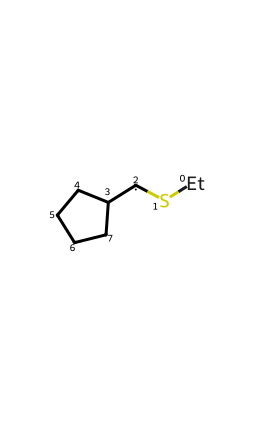 CCS[CH]C1CCCC1